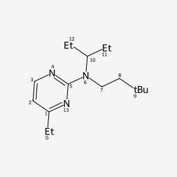 CCc1ccnc(N(CCC(C)(C)C)C(CC)CC)n1